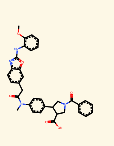 COc1ccccc1Nc1nc2ccc(CC(=O)N(C)c3ccc(C4CN(C(=O)c5ccccc5)CC4C(=O)O)cc3)cc2o1